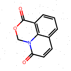 O=C1OCn2c(=O)ccc3cccc1c32